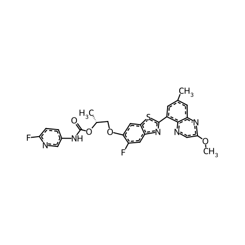 COc1cnc2c(-c3nc4cc(F)c(OC[C@@H](C)OC(=O)Nc5ccc(F)nc5)cc4s3)cc(C)cc2n1